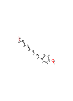 COc1ccc(/C=C/C=C/C=C/C=C/C=O)cc1